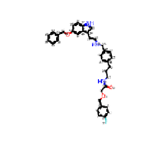 O=C(COCc1ccc(F)cc1)NCCCc1ccc(CNCCc2c[nH]c3ccc(OCc4ccccc4)cc23)cc1